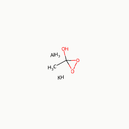 CC1(O)OO1.[AlH3].[KH]